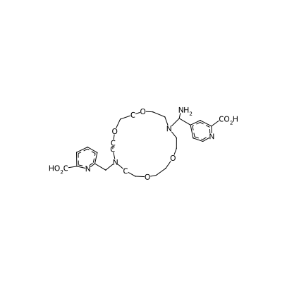 NC(c1ccnc(C(=O)O)c1)N1CCOCCOCCN(Cc2cccc(C(=O)O)n2)CCOCCOCC1